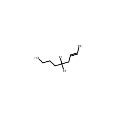 CCC(CC)(CC=CO)CCCO